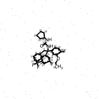 CCOc1cc(C(Cc2ccccc2)(NC(=O)NC2CCCC2)c2cc(F)cc(C(F)(F)F)c2)ccc1F